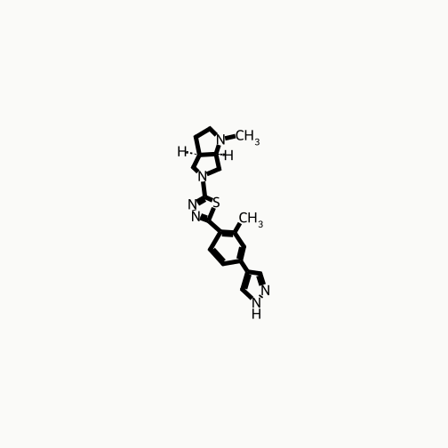 Cc1cc(-c2cn[nH]c2)ccc1-c1nnc(N2C[C@H]3CCN(C)[C@H]3C2)s1